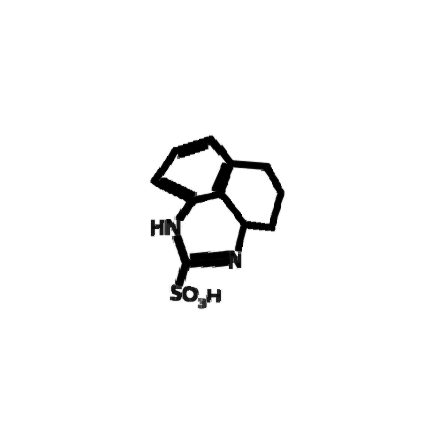 O=S(=O)(O)C1=NC2CCCc3cccc(c32)N1